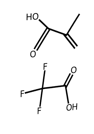 C=C(C)C(=O)O.O=C(O)C(F)(F)F